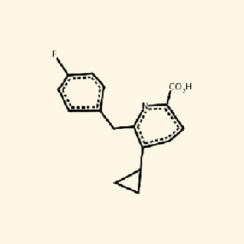 O=C(O)c1ccc(C2CC2)c(Cc2ccc(F)cc2)n1